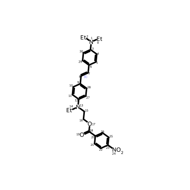 CCN(CC)c1ccc(/C=C/c2ccc(N(CC)CCOC(=O)c3ccc([N+](=O)[O-])cc3)cc2)cc1